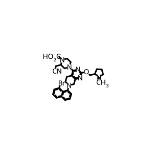 CN1CCCC1COc1nc2c(c(N3CCN(C(=O)O)C(CC#N)C3)n1)CCN(c1cccc3cccc(Br)c13)C2